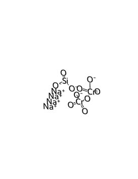 O=[Si]([O-])[O-].[Na+].[Na+].[Na+].[Na+].[O]=[Cr](=[O])([O-])[O][Cr](=[O])(=[O])[O-]